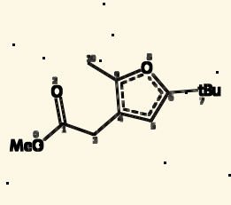 [CH2]OC(=O)Cc1cc(C(C)(C)C)oc1C